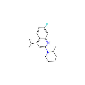 CC(C)c1cc(N2CCCCC2C)nc2cc(F)ccc12